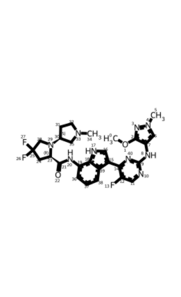 COc1nn(C)cc1Nc1ncc(F)c(-c2c[nH]c3c(NC(=O)[C@H]4CC(F)(F)CN4[C@H]4CCN(C)C4)cccc23)n1